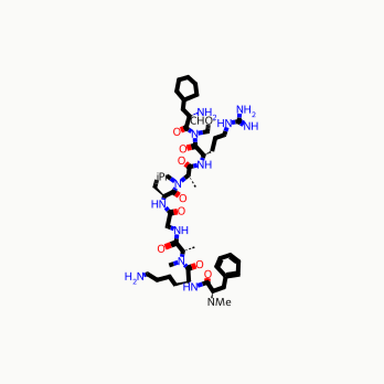 CN[C@@H](Cc1ccccc1)C(=O)N[C@@H](CCCCN)C(=O)N(C)[C@@H](C)C(=O)NCC(=O)N[C@@H](CC(C)C)C(=O)N(C)[C@@H](C)C(=O)N[C@@H](CCCNC(=N)N)C(=O)N(C[C]=O)C(=O)[C@@H](N)CC1CCCCC1